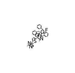 Cc1nsc(-c2ccc(-c3c(C)nc(-c4cccc(F)c4OCc4ccccc4)n(CCc4ccccc4)c3=O)s2)n1